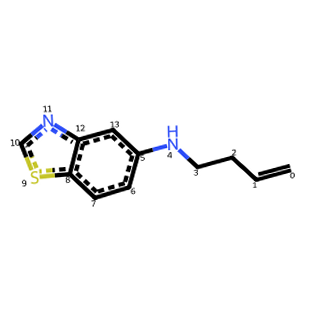 C=CCCNc1ccc2scnc2c1